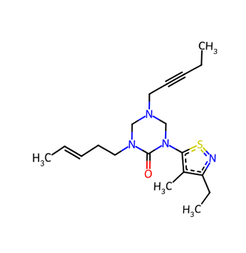 C/C=C/CCN1CN(CC#CCC)CN(c2snc(CC)c2C)C1=O